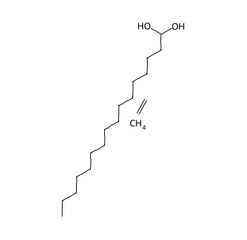 C.C=C.CCCCCCCCCCCCCCCC(O)O